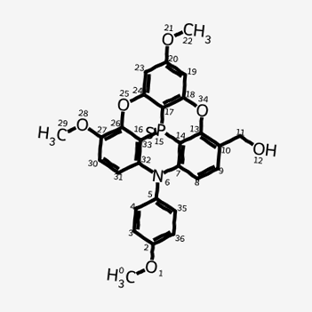 COc1ccc(N2c3ccc(CO)c4c3P3(=S)c5c(cc(OC)cc5Oc5c(OC)ccc2c53)O4)cc1